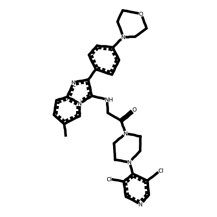 Cc1ccc2nc(-c3ccc(N4CCOCC4)cc3)c(NCC(=O)N3CCN(c4c(Cl)cncc4Cl)CC3)n2c1